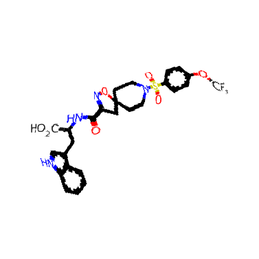 O=C(NC(Cc1c[nH]c2ccccc12)C(=O)O)C1=NOC2(CCN(S(=O)(=O)c3ccc(OC(F)(F)F)cc3)CC2)C1